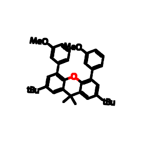 COc1cccc(-c2cc(C(C)(C)C)cc3c2Oc2c(-c4cccc(OC)c4)cc(C(C)(C)C)cc2C3(C)C)c1